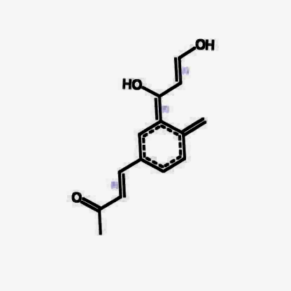 C=c1ccc(/C=C/C(C)=O)c/c1=C(O)/C=C/O